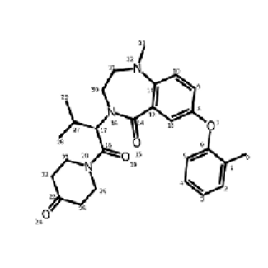 Cc1ccccc1Oc1ccc2c(c1)C(=O)N([C@@H](C(=O)N1CCC(=O)CC1)C(C)C)CCN2C